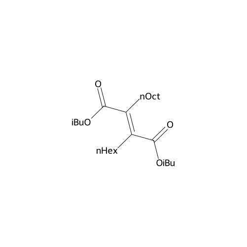 CCCCCCCCC(C(=O)OCC(C)C)=C(CCCCCC)C(=O)OCC(C)C